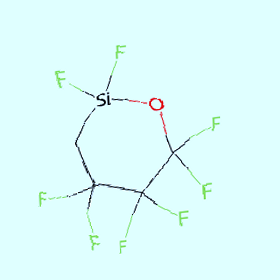 FC1(F)C[Si](F)(F)OC(F)(F)C1(F)F